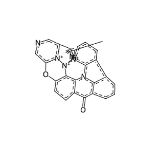 Cc1cc2n(n1)[N+]13c4c(ccc5c(=O)c6cccc7c8ccc[n+]1c8n(c45)c67)Oc1cncc-2[n+]13